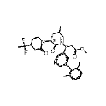 COC(=O)C[C@H](NC(=O)[C@@H](CC(C)C)N1CCC(C(C)(F)F)CC1=O)c1cncc(-c2c(C)cccc2C)c1